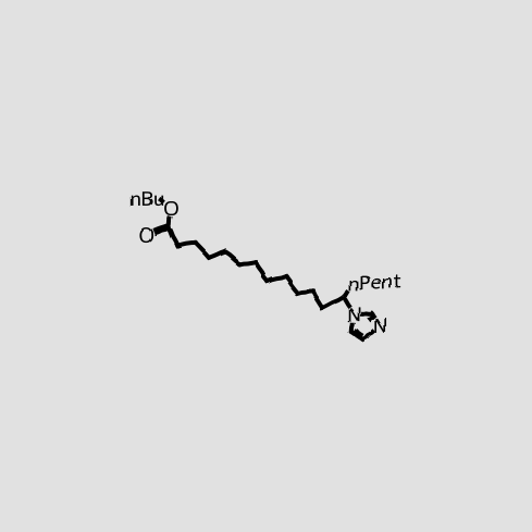 CCCCCC(CCCCCCCCCCCC(=O)OCCCC)n1ccnc1